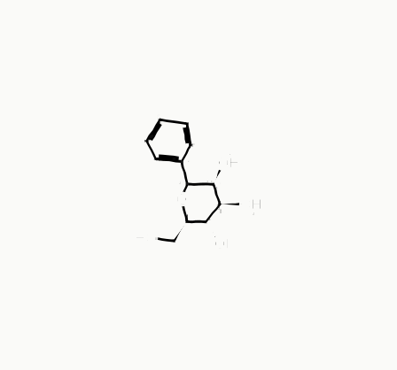 OC[C@H]1OC(c2[c]cccc2)[C@@H](O)[C@@H](O)[C@@H]1O